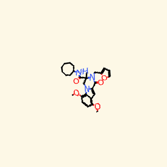 COc1ccc(OC)c2c1cc1n2CC(C)(C(=O)NC2CCCCCCC2)N(Cc2ccco2)C1=O